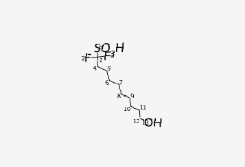 O=S(=O)(O)C(F)(F)CCCCCCCCCO